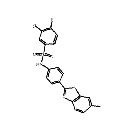 Cc1ccc2nc(-c3ccc(NS(=O)(=O)c4ccc(F)c(Cl)c4)cc3)sc2c1